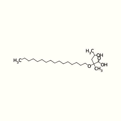 CCCCCCCCCCCCCCCCOC(C)(CC(C)O)C(=O)O